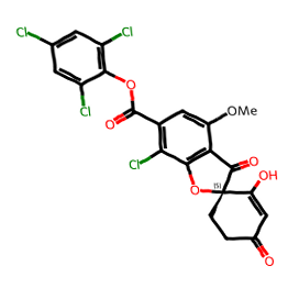 COc1cc(C(=O)Oc2c(Cl)cc(Cl)cc2Cl)c(Cl)c2c1C(=O)[C@@]1(CCC(=O)C=C1O)O2